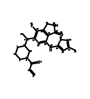 C=CC(=O)N1CCCC(N(C)c2nc(Nc3cc(C)ns3)c3c(c2F)CNC3=O)C1